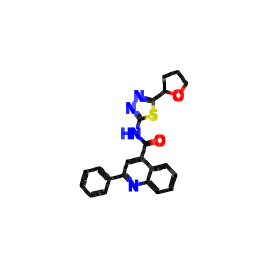 O=C(Nc1nnc(C2CCCO2)s1)c1cc(-c2ccccc2)nc2ccccc12